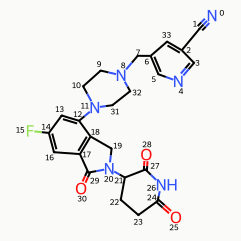 N#Cc1cncc(CN2CCN(c3cc(F)cc4c3CN(C3CCC(=O)NC3=O)C4=O)CC2)c1